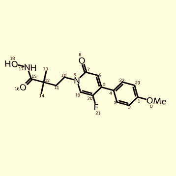 COc1ccc(-c2cc(=O)n(CCC(C)(C)C(=O)NO)cc2F)cc1